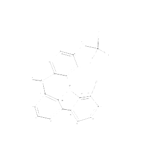 CN(c1ccc(OC(F)(F)F)cc1)c1cccc2c1oc1c(F)cccc12